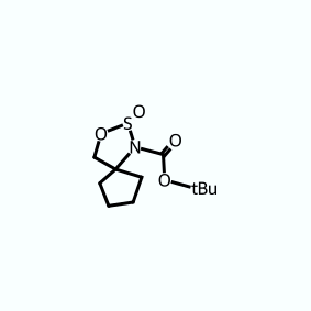 CC(C)(C)OC(=O)N1S(=O)OCC12CCCC2